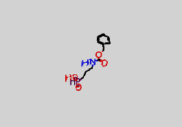 O=C(NCCC[PH](=O)O)OCc1ccccc1